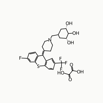 O=C(O)C(=O)O.OC1[C@H](O)CC(CN2CCC(=C3c4ccc(F)cc4Sc4ccc(C(F)(F)F)cc43)CC2)C[C@@H]1O